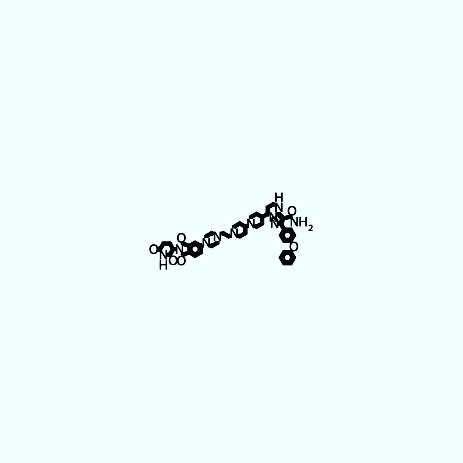 NC(=O)c1c(-c2ccc(Oc3ccccc3)cc2)nn2c1NCCC2C1CCN(C2CCN(CCN3CCN(c4ccc5c(c4)C(=O)N(C4CCC(=O)NC4=O)C5=O)CC3)CC2)CC1